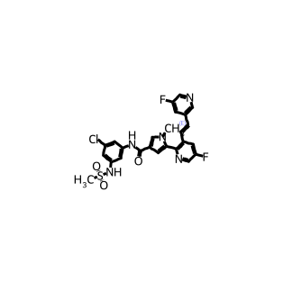 Cn1cc(C(=O)Nc2cc(Cl)cc(NS(C)(=O)=O)c2)cc1-c1ncc(F)cc1/C=C/c1cncc(F)c1